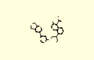 CCC(CNc1cc(-c2cnc3c(c2)COC3)ncn1)c1cccc2c(C(=O)NC)c(F)cnc12